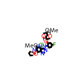 COc1c(N=S2(=O)CCCC2)cc2ncnc(Nc3ccc(F)cc3O[C@@H]3CO[C@H]4[C@@H]3OC[C@H]4OC)c2c1Cl